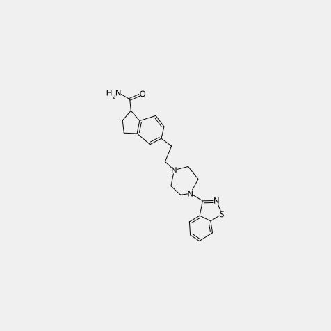 NC(=O)C1[CH]Cc2cc(CCN3CCN(c4nsc5ccccc45)CC3)ccc21